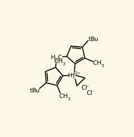 CC1=[C]([Hf+2]2([C]3=C(C)C(C(C)(C)C)=CC3C)[CH2][CH2]2)C(C)C=C1C(C)(C)C.[Cl-].[Cl-]